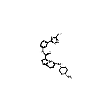 CC(C)c1nc(-c2cccc(NC(=O)c3cnc4ccc(N[C@H]5CC[C@H](N)CC5)nn34)c2)no1